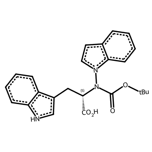 CC(C)(C)OC(=O)N([C@@H](Cc1c[nH]c2ccccc12)C(=O)O)n1ccc2ccccc21